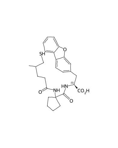 CC(CS)CCC(=O)NC1(C(=O)N[C@@H](Cc2ccc3c(c2)oc2ccccc23)C(=O)O)CCCC1